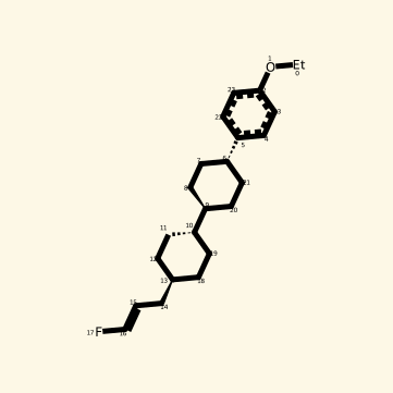 CCOc1ccc([C@H]2CC[C@H]([C@H]3CC[C@H](CC=CF)CC3)CC2)cc1